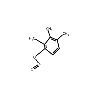 Cc1ccc(OP=O)c(C)c1C